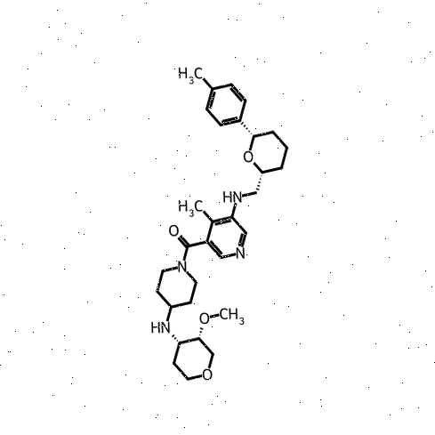 CO[C@@H]1COCC[C@@H]1NC1CCN(C(=O)c2cncc(NC[C@H]3CCC[C@@H](c4ccc(C)cc4)O3)c2C)CC1